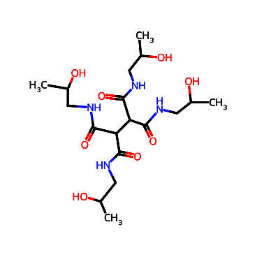 CC(O)CNC(=O)C(C(=O)NCC(C)O)C(C(=O)NCC(C)O)C(=O)NCC(C)O